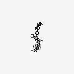 CS(C)(=O)=Nc1ccc(-c2ccc(-c3nc4[nH]c(O[C@@H]5COC6[C@H](O)CO[C@@H]65)nc4cc3Cl)cc2)nc1